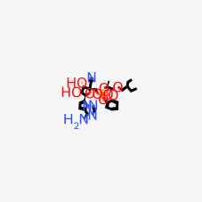 CCC(CC)COC(=O)[C@H](C)OP(=O)(OC[C@@]1(C#N)O[C@@H](c2ccc3c(N)ncnn23)[C@H](O)[C@@H]1O)Oc1ccccc1